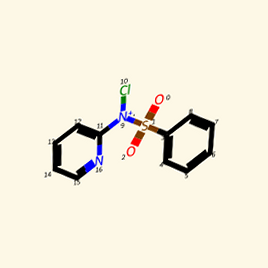 O=S(=O)(c1ccccc1)[N+](Cl)c1ccccn1